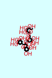 CC1O[C@@H](OCC2O[C@@H](Oc3cc4c(O)cc(O)cc4[o+]c3-c3cc(O)c(O)c(O)c3)C(O)C(O)[C@H]2O)C(O)[C@@H](O)[C@H]1O